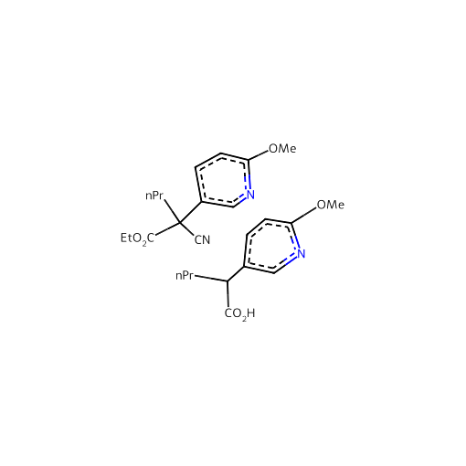 CCCC(C#N)(C(=O)OCC)c1ccc(OC)nc1.CCCC(C(=O)O)c1ccc(OC)nc1